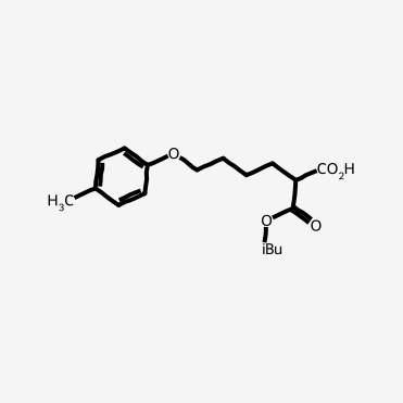 CCC(C)OC(=O)C(CCCCOc1ccc(C)cc1)C(=O)O